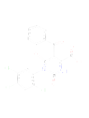 O=C(O)c1[nH]c(=O)n(-c2cc(Cl)c(Cl)cc2Cl)c(=O)c1C(=O)c1ccccc1